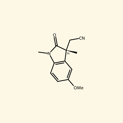 COc1ccc2c(c1)[C@@](C)(CC#N)C(=O)N2C